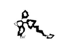 Oc1ccc2c(c1)C(c1ccc(CCCCN3CCCC3)cc1)[C@@H](c1ccccc1)CO2